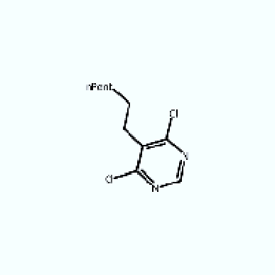 CCCCCCCc1c(Cl)ncnc1Cl